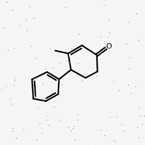 CC1=CC(=O)CCC1c1ccccc1